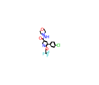 O=C(NN1CCOCC1)c1cnc(OCC(F)(F)F)c(-c2ccc(Cl)cc2)c1